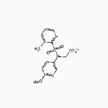 COc1ccc(N(CC(=O)O)S(=O)(=O)c2ncccc2C)cn1